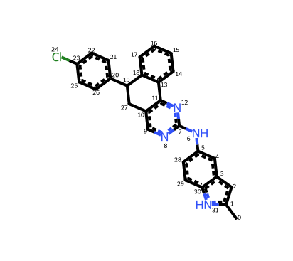 Cc1cc2cc(Nc3ncc4c(n3)-c3ccccc3C(c3ccc(Cl)cc3)C4)ccc2[nH]1